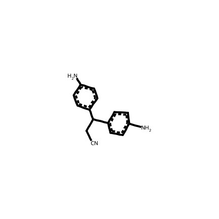 N#CCC(c1ccc(N)cc1)c1ccc(N)cc1